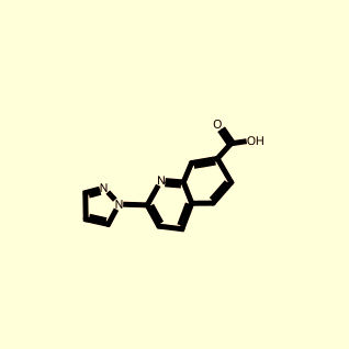 O=C(O)c1ccc2ccc(-n3cccn3)nc2c1